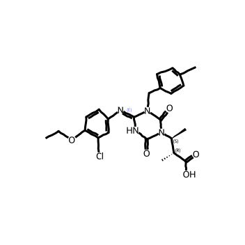 CCOc1ccc(/N=c2\[nH]c(=O)n([C@@H](C)[C@@H](C)C(=O)O)c(=O)n2Cc2ccc(C)cc2)cc1Cl